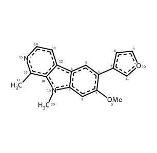 COc1cc2c(cc1-c1ccoc1)c1ccnc(C)c1n2C